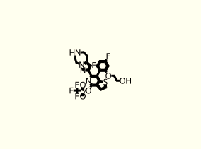 O=S(=O)(Oc1nc(-c2cc3n(n2)CCNCC3)c(-c2c(F)cc(F)cc2OCCO)c2sccc12)C(F)(F)F